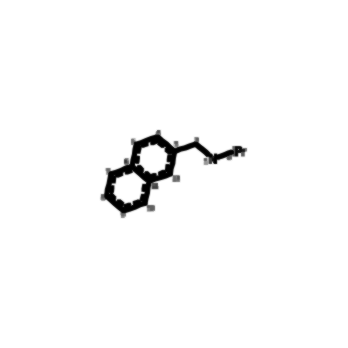 CC(C)[N]Cc1ccc2ccccc2c1